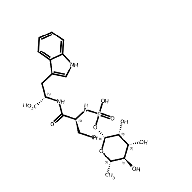 CC(C)C[C@H](NP(=O)(O)O[C@H]1O[C@@H](C)[C@H](O)[C@@H](O)[C@H]1O)C(=O)N[C@@H](Cc1c[nH]c2ccccc12)C(=O)O